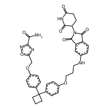 NC(=O)c1noc(COc2ccc(C3(c4ccc(OCCCNc5ccc6c(c5)C(=O)N(C5CCC(=O)NC5=O)C6=O)cc4)CCC3)cc2)n1